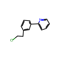 ClCCc1cccc(-c2ccccn2)c1